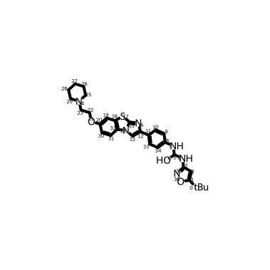 CC(C)(C)c1cc(NC(O)Nc2ccc(-c3cn4c(n3)sc3cc(OCCN5CCCCC5)ccc34)cc2)no1